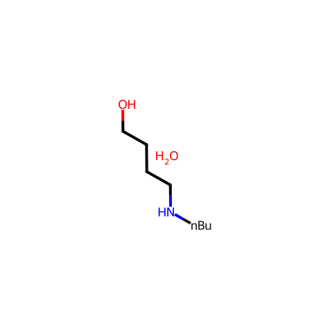 CCCCNCCCCO.O